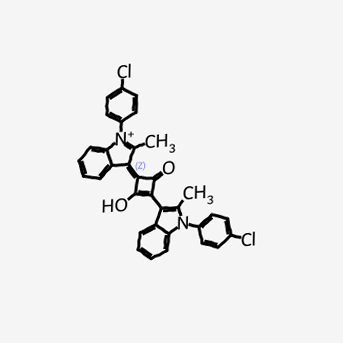 CC1=[N+](c2ccc(Cl)cc2)c2ccccc2/C1=C1/C(=O)C(c2c(C)n(-c3ccc(Cl)cc3)c3ccccc23)=C1O